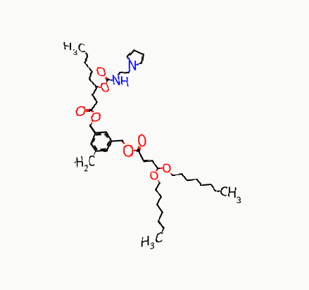 [CH2]c1cc(COC(=O)CCC(CCCCC)OC(=O)NCCN2CCCC2)cc(COC(=O)CCC(OCCCCCCCC)OCCCCCCCC)c1